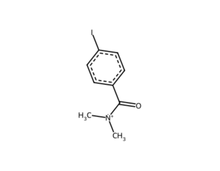 C[N+](C)C(=O)c1ccc(I)cc1